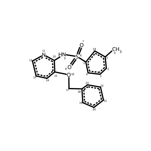 Cc1cccc(S(=O)(=O)Nc2ncccc2OCc2ccccc2)c1